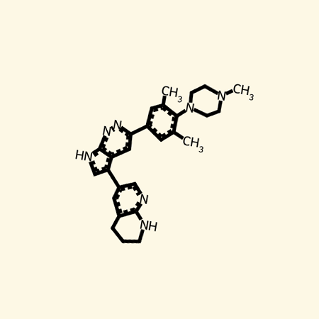 Cc1cc(-c2cc3c(-c4cnc5c(c4)CCCN5)c[nH]c3nn2)cc(C)c1N1CCN(C)CC1